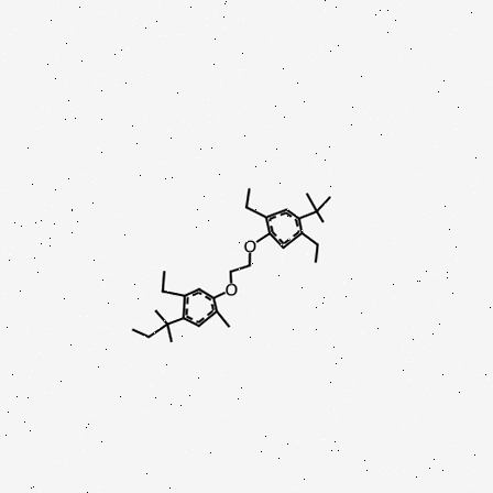 CCc1cc(C(C)(C)C)c(CC)cc1OCCOc1cc(CC)c(C(C)(C)CC)cc1C